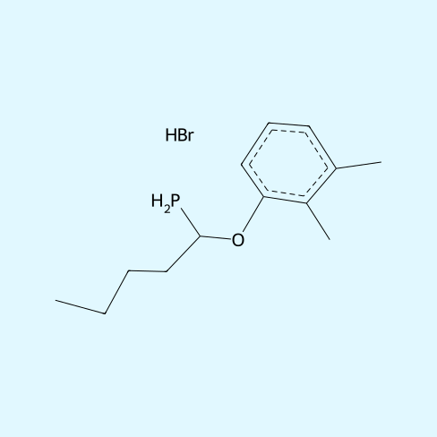 Br.CCCCC(P)Oc1cccc(C)c1C